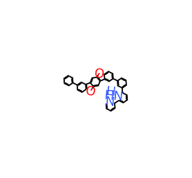 C1=CNC(C2=CC=CC(c3cccc(-c4ccc5oc6cc7c(cc6c5c4)oc4ccc(-c5ccccc5)cc47)c3)N2)C=C1